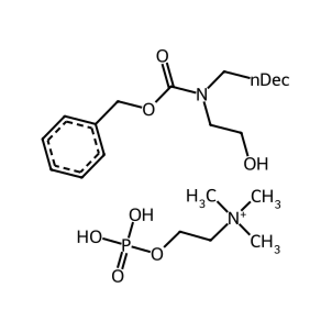 CCCCCCCCCCCN(CCO)C(=O)OCc1ccccc1.C[N+](C)(C)CCOP(=O)(O)O